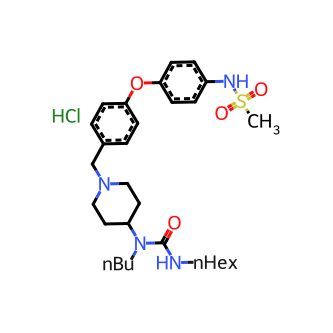 CCCCCCNC(=O)N(CCCC)C1CCN(Cc2ccc(Oc3ccc(NS(C)(=O)=O)cc3)cc2)CC1.Cl